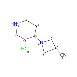 Cl.N#CC1CN(C2CCNCC2)C1